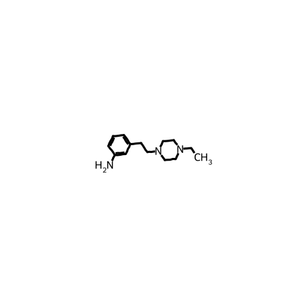 CCN1CCN(CCc2cccc(N)c2)CC1